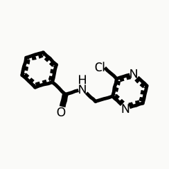 O=C(NCc1nccnc1Cl)c1ccccc1